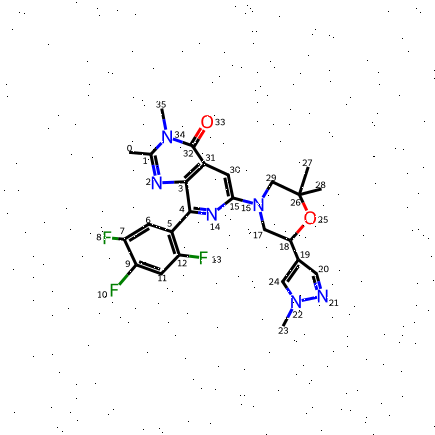 Cc1nc2c(-c3cc(F)c(F)cc3F)nc(N3CC(c4cnn(C)c4)OC(C)(C)C3)cc2c(=O)n1C